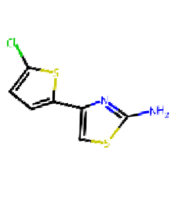 Nc1nc(-c2ccc(Cl)s2)cs1